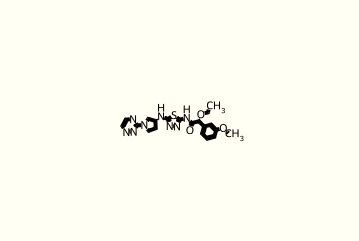 CCO[C@@H](C(=O)Nc1nnc(N[C@@H]2CCN(c3nccnn3)C2)s1)c1cccc(OC)c1